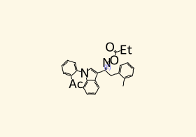 CCC(=O)O/N=C(\Cc1ccccc1C)c1cn(-c2ccccc2C(C)=O)c2ccccc12